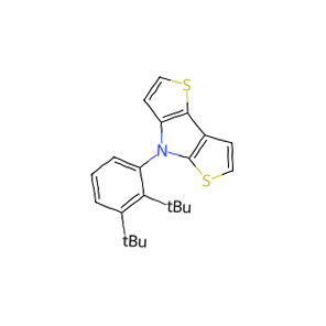 CC(C)(C)c1cccc(-n2c3ccsc3c3ccsc32)c1C(C)(C)C